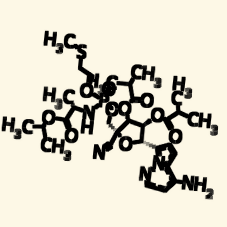 CSCCOP(=O)(N[C@@H](C)C(=O)OC(C)C)OC[C@@]1(C#N)O[C@@H](c2ccc3c(N)ccnn23)[C@H](OC(=O)C(C)C)[C@@H]1OC(=O)C(C)C